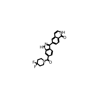 O=C(c1ccc2c(-c3ccc4c(=O)[nH]ccc4c3)n[nH]c2c1)N1CCC(F)(F)CC1